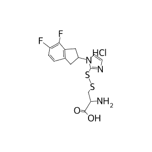 Cl.NC(CSSc1nccn1C1Cc2ccc(F)c(F)c2C1)C(=O)O